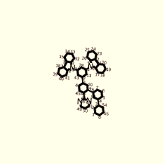 c1ccc(-c2cccc(-c3cc(-c4cc(-n5c6ccccc6c6ccccc65)cc(-n5c6ccccc6c6ccccc65)c4)ccc3-c3ncccn3)c2)cc1